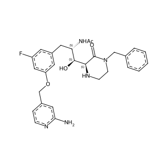 CC(=O)N[C@@H](Cc1cc(F)cc(OCc2ccnc(N)c2)c1)[C@H](O)[C@@H]1NCCN(Cc2ccccc2)C1=O